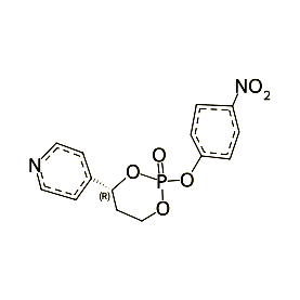 O=[N+]([O-])c1ccc(OP2(=O)OCC[C@H](c3ccncc3)O2)cc1